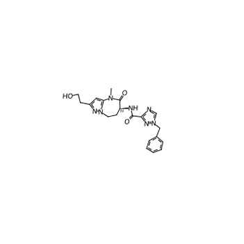 CN1C(=O)[C@@H](NC(=O)c2ncn(Cc3ccccc3)n2)CCn2nc(CCO)cc21